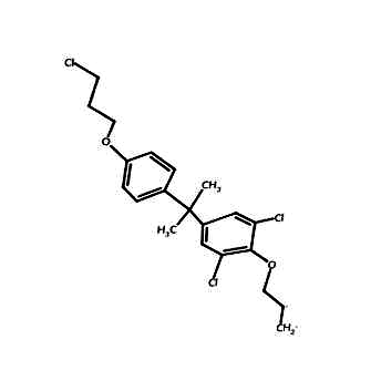 [CH2][CH]COc1c(Cl)cc(C(C)(C)c2ccc(OCCCCl)cc2)cc1Cl